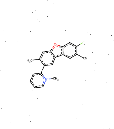 Cc1cc2oc3cc(F)c(C#N)cc3c2cc1-c1cccc[n+]1C